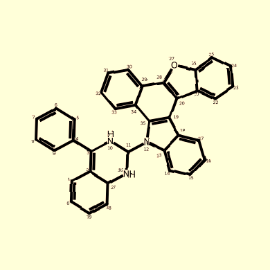 C1=CC2=C(c3ccccc3)NC(n3c4ccccc4c4c5c6ccccc6oc5c5ccccc5c43)NC2C=C1